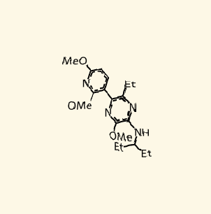 CCc1nc(NC(CC)CC)c(OC)nc1-c1ccc(OC)nc1OC